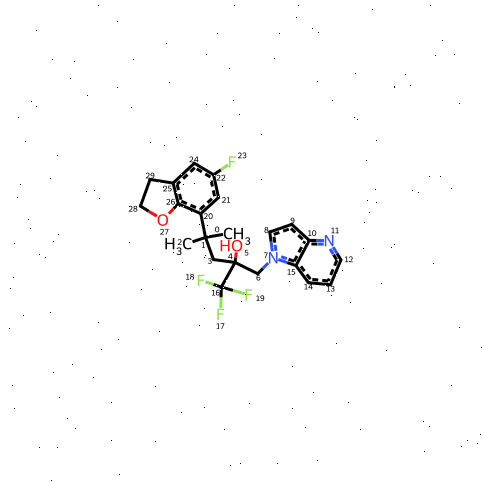 CC(C)(CC(O)(Cn1ccc2ncccc21)C(F)(F)F)c1cc(F)cc2c1OCC2